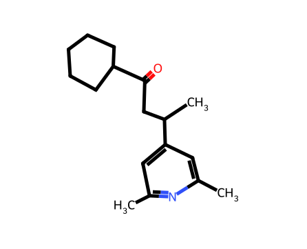 Cc1cc(C(C)CC(=O)C2CCCCC2)cc(C)n1